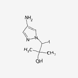 CC(C)(O)C(I)n1cc(N)cn1